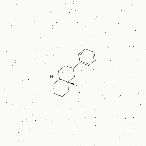 c1ccc(C2CC[C@@H]3CCCC[C@H]3C2)cc1